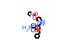 CC(C)(N)C(=O)N[C@H](COCc1ccccc1)c1nnc2ccc(OC(=O)N3CCCC3)cn12